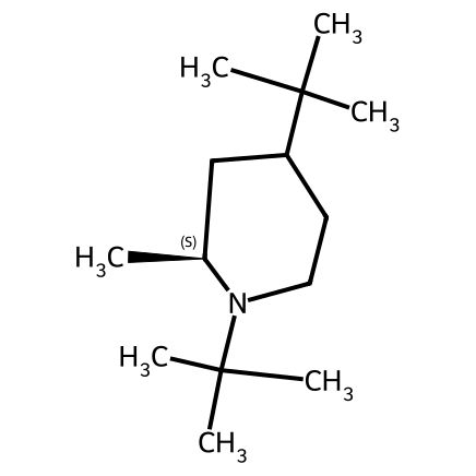 C[C@H]1CC(C(C)(C)C)CCN1C(C)(C)C